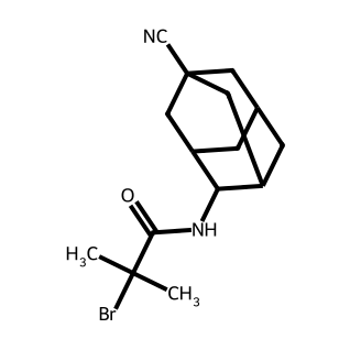 CC(C)(Br)C(=O)NC1C2CC3CC1CC(C#N)(C3)C2